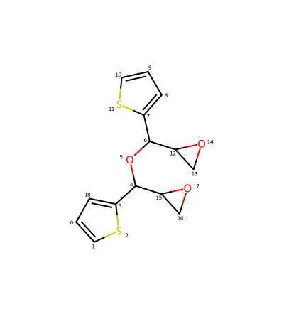 c1csc(C(OC(c2cccs2)C2CO2)C2CO2)c1